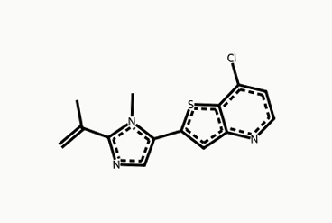 C=C(C)c1ncc(-c2cc3nccc(Cl)c3s2)n1C